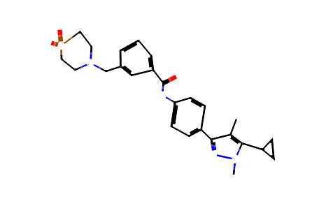 Cc1c(-c2ccc(NC(=O)c3cccc(CN4CCS(=O)(=O)CC4)c3)cc2)nn(C)c1C1CC1